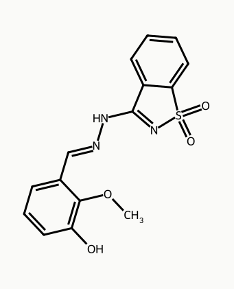 COc1c(O)cccc1C=NNC1=NS(=O)(=O)c2ccccc21